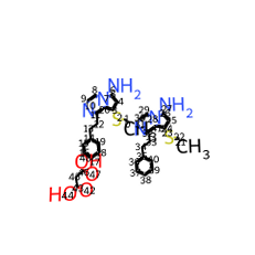 CCSc1cc(N)n2ccnc(CCc3ccccc3)c12.CCSc1cc(N)n2ccnc(CCc3ccccc3)c12.O=C(O)CC(=O)O